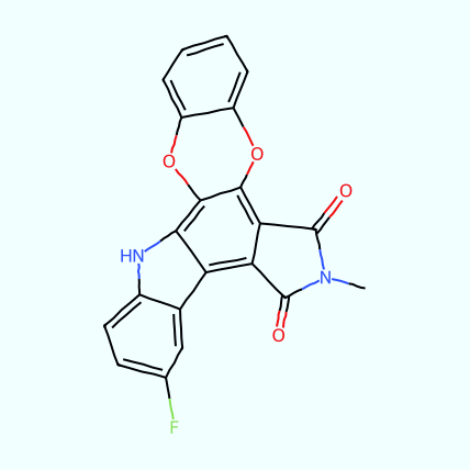 Cn1c(=O)c2c3oc4ccccc4oc3c3[nH]c4ccc(F)cc4c3c2c1=O